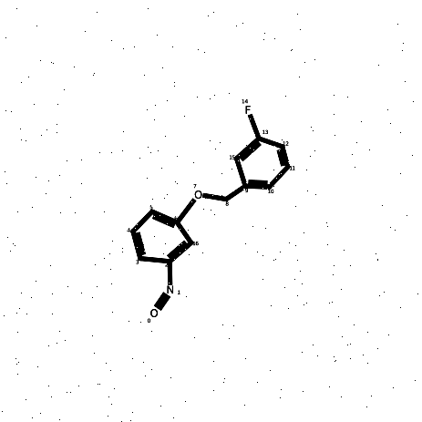 O=Nc1cccc(OCc2cccc(F)c2)c1